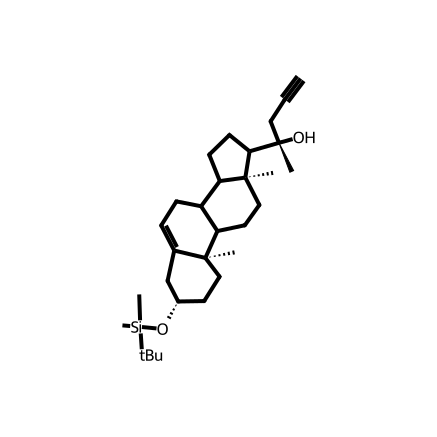 C#CC[C@](C)(O)C1CCC2C3CC=C4C[C@@H](O[Si](C)(C)C(C)(C)C)CC[C@]4(C)C3CC[C@@]21C